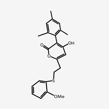 COc1ccccc1SCCc1cc(O)c(-c2c(C)cc(C)cc2C)c(=O)o1